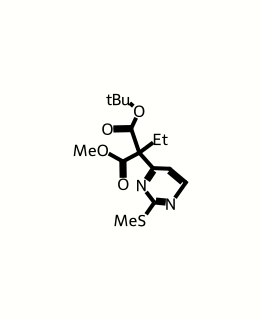 CCC(C(=O)OC)(C(=O)OC(C)(C)C)c1ccnc(SC)n1